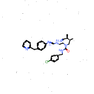 C=C(C#N)C(C)CN(CCN/C=N/c1ccc(Cc2ccccn2)cc1)C(=O)NCc1ccc(Cl)cc1